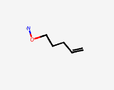 C=CCCCO[N]